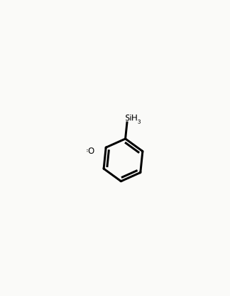 [O].[SiH3]c1ccccc1